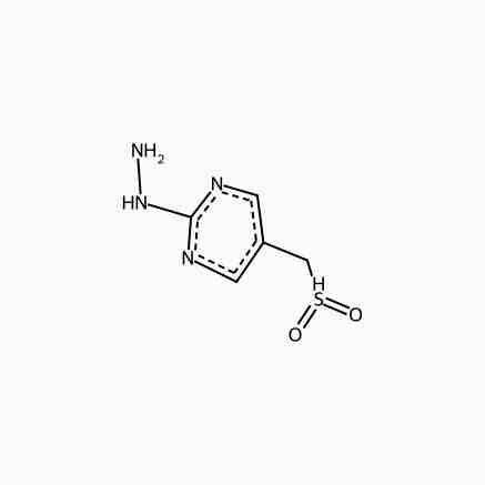 NNc1ncc(C[SH](=O)=O)cn1